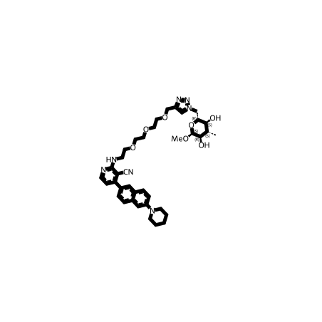 CO[C@H]1O[C@H](Cn2cc(COCCOCCOCCNc3nccc(-c4ccc5cc(N6CCCCC6)ccc5c4)c3C#N)nn2)[C@@H](O)[C@H](C)[C@H]1O